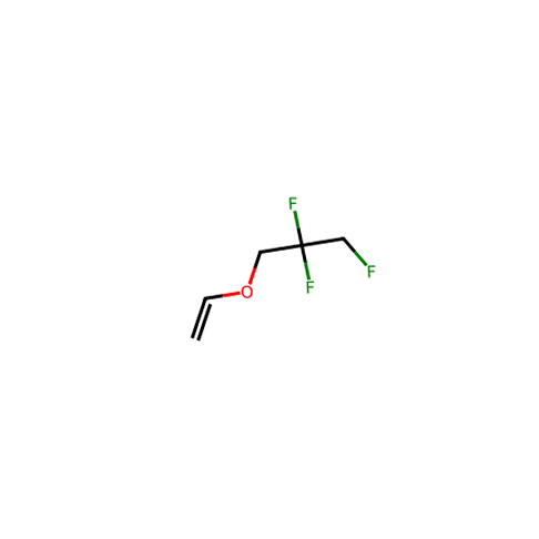 C=COCC(F)(F)CF